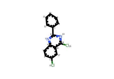 Clc1ccc2nc(-c3ccccc3)nc(Cl)c2c1